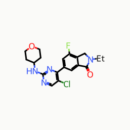 CCN1Cc2c(F)cc(-c3nc(NC4CCOCC4)ncc3Cl)cc2C1=O